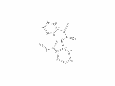 C=C(C(=O)n1cc(C=O)c2ccccc21)c1ccccc1